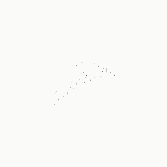 c1ccc(-c2cc(-c3ccc(-c4ccc5c(ccc6ccccc65)c4)cc3)nc(-c3ccc4sc5c6ccccc6nc(-c6ccccc6)c5c4c3)n2)cc1